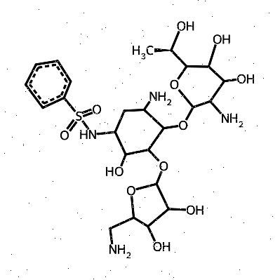 C[C@@H](O)C1OC(OC2C(N)CC(NS(=O)(=O)c3ccccc3)C(O)C2OC2OC(CN)C(O)C2O)C(N)C(O)C1O